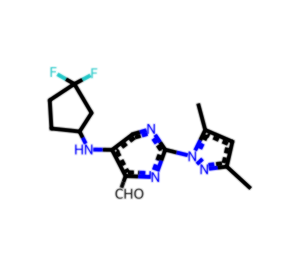 Cc1cc(C)n(-c2ncc(NC3CCC(F)(F)C3)c(C=O)n2)n1